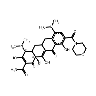 CN(C)c1cc(C(=O)N2CCOCC2)c(O)c2c1CC1CC3[C@H](N(C)C)C(O)=C(C(N)=O)C(=O)[C@@]3(N=O)C(O)=C1C2=O